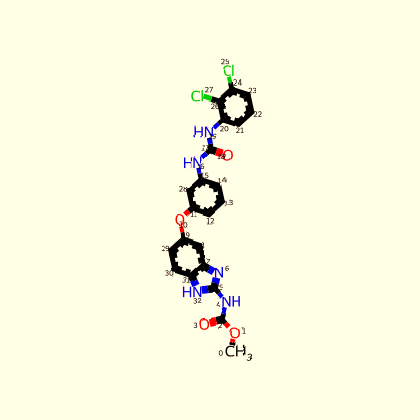 COC(=O)Nc1nc2cc(Oc3cccc(NC(=O)Nc4cccc(Cl)c4Cl)c3)ccc2[nH]1